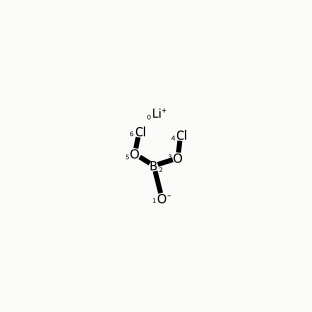 [Li+].[O-]B(OCl)OCl